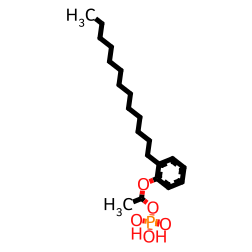 CCCCCCCCCCCCCc1ccccc1OC(C)OP(=O)(O)O